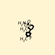 Cc1ccc(C2CCCN(C(=O)ON)C2C)cc1F